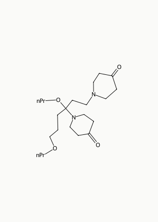 CCCOCCCC(CCN1CCC(=O)CC1)(OCCC)N1CCC(=O)CC1